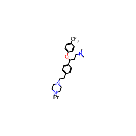 CC(C)N1CCN(CCc2ccc(C(CCN(C)C)Oc3ccc(C(F)(F)F)cc3)cc2)CC1